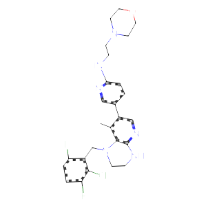 Cc1c(-c2ccc(NCCN3CCOCC3)nc2)cnc2c1N(Cc1c(F)ccc(F)c1Cl)CCN2